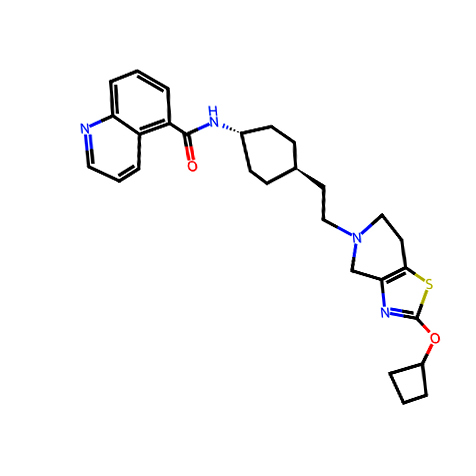 O=C(N[C@H]1CC[C@H](CCN2CCc3sc(OC4CCC4)nc3C2)CC1)c1cccc2ncccc12